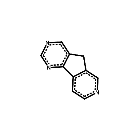 c1cc2c(cn1)Cc1cncnc1-2